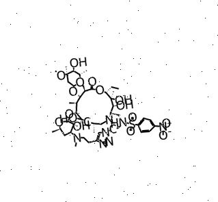 CC[C@H]1OC(=O)[C@H](C)[C@@H](O[C@H]2C[C@@](C)(OC)[C@@H](O)[C@H](C)O2)[C@H](C)[C@@H](O[C@@H]2O[C@H](C)C[C@H](N(C)CCc3cn(CCNS(=O)(=O)c4ccc([N+](=O)[O-])cc4)nn3)[C@H]2O)[C@](C)(O)C[C@@H](C)CN(C)[C@H](C)[C@@H](O)[C@]1(C)O